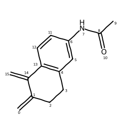 C=C1CCc2cc(NC(C)=O)ccc2C1=C